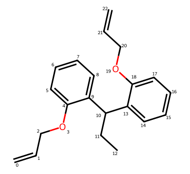 C=CCOc1ccccc1C(CC)c1ccccc1OCC=C